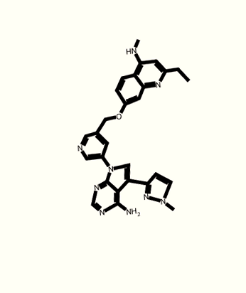 CCc1cc(NC)c2ccc(OCc3cncc(-n4cc(-c5ccn(C)n5)c5c(N)ncnc54)c3)cc2n1